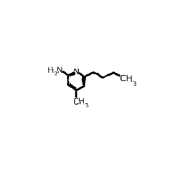 CCCCc1cc(C)cc(N)n1